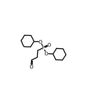 O=CCCP(=O)(OC1CCCCC1)OC1CCCCC1